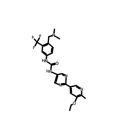 CCOc1cc(-c2ncc(NC(=O)Nc3ccc(CN(C)C)c(C(F)(F)F)c3)cn2)cnc1C